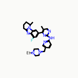 CCN1CCN(Cc2ccc(Nc3ncc(C)c(-c4cc(F)c5nc6n(c5c4)C(C)CCC6)n3)nc2)CC1